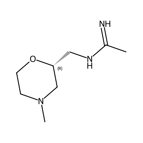 CC(=N)NC[C@@H]1CN(C)CCO1